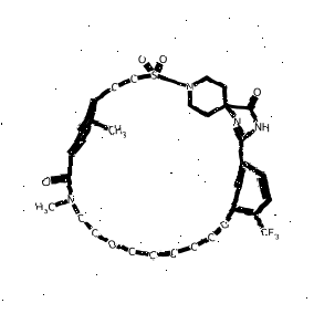 Cc1cc2ccc1CCS(=O)(=O)N1CCC3(CC1)N=C(NC3=O)c1ccc(C(F)(F)F)c(c1)OCCCCCOCCN(C)C2=O